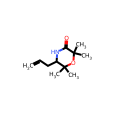 C=CCC1NC(=O)C(C)(C)OC1(C)C